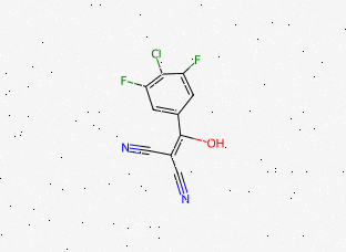 N#CC(C#N)=C(O)c1cc(F)c(Cl)c(F)c1